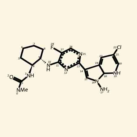 CNC(=O)N[C@H]1CCCC[C@@H]1Nc1nc(C2=CN(N)C3NC=C(Cl)C=C23)ncc1F